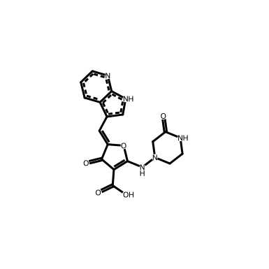 O=C1CN(NC2=C(C(=O)O)C(=O)C(=Cc3c[nH]c4ncccc34)O2)CCN1